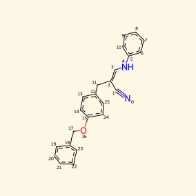 N#CC(=CNc1ccccc1)Cc1ccc(OCc2ccccc2)cc1